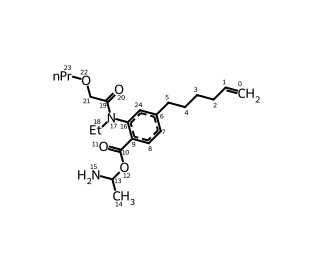 C=CCCCCc1ccc(C(=O)OC(C)N)c(N(CC)C(=O)COCCC)c1